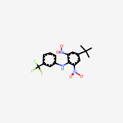 CC(C)(C)c1cc([N+](=O)[O-])c(Nc2cccc(C(F)(F)F)c2)c([N+](=O)[O-])c1